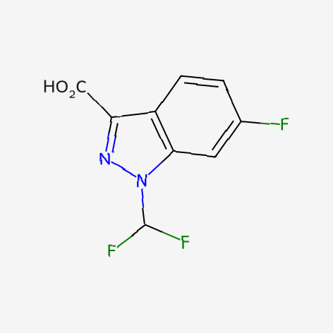 O=C(O)c1nn(C(F)F)c2cc(F)ccc12